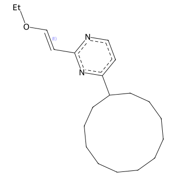 CCO/C=C/c1nccc(C2CCCCCCCCCCC2)n1